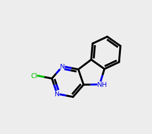 Clc1ncc2[nH]c3ccccc3c2n1